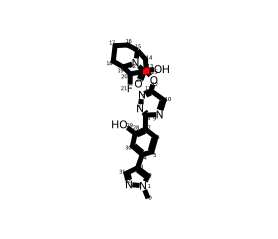 Cn1cc(-c2ccc(-c3ncc(OC4CC5CCCC(C4F)N5C(=O)O)nn3)c(O)c2)cn1